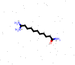 NC(=O)CCCCCCCCCC(N)N